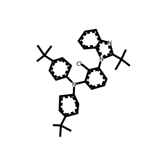 CC(C)(C)c1ccc(N(c2ccc(C(C)(C)C)cc2)c2cccc(-n3c(C(C)(C)C)nc4ccccc43)c2Cl)cc1